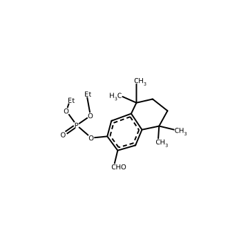 CCOP(=O)(OCC)Oc1cc2c(cc1C=O)C(C)(C)CCC2(C)C